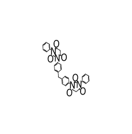 O=C1CC(=O)N(c2ccc(Cc3ccc(N4C(=O)CC(=O)N(c5ccccc5)C4=O)cc3)cc2)C(=O)N1c1ccccc1